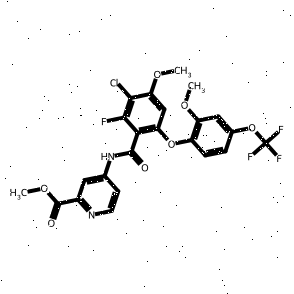 COC(=O)c1cc(NC(=O)c2c(Oc3ccc(OC(F)(F)F)cc3OC)cc(OC)c(Cl)c2F)ccn1